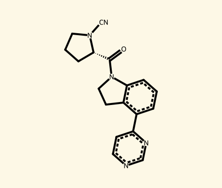 N#CN1CCC[C@H]1C(=O)N1CCc2c(-c3ccncn3)cccc21